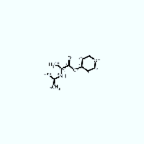 CC(S)N[C@@H](C)C(=O)OC1CCOCC1